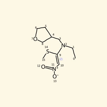 CCN(CC1CCOC1)/C(=C/[N+](=O)[O-])SC